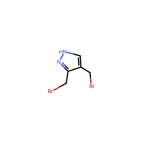 BrCc1c[nH]nc1CBr